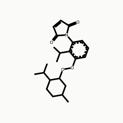 CC1CCC(C(C)C)C(OOc2cccc(N3C(=O)C=CC3=O)c2C(C)C)C1